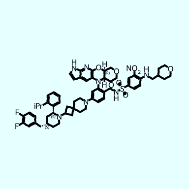 CC(C)c1ccccc1[C@@H]1C[C@@H](Cc2ccc(F)c(F)c2)CCN1C1CC2(CCN(c3ccc(C(=O)NS(=O)(=O)c4ccc(NCC5CCOCC5)c([N+](=O)[O-])c4)c(N4c5cc6cc[nH]c6nc5O[C@H]5COCC[C@@H]54)c3)CC2)C1